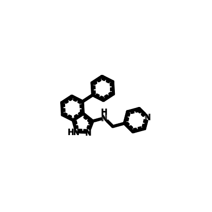 c1ccc(-c2cccc3[nH]nc(NCc4ccncc4)c23)cc1